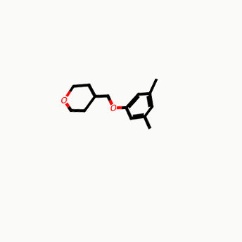 Cc1cc(C)cc(OCC2CCOCC2)c1